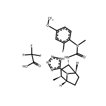 C[C@H]1C[C@H](NC(=O)N(C)c2ccc(OC(F)(F)F)cc2F)[C@@H]2CC[C@H]1N2c1nnn[nH]1.O=C(O)C(F)(F)F